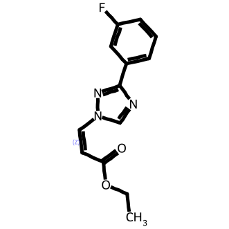 CCOC(=O)/C=C\n1cnc(-c2cccc(F)c2)n1